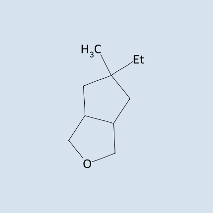 CCC1(C)CC2COCC2C1